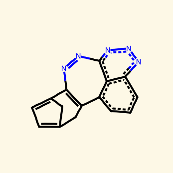 C1=C2CC(=C1)C1=C(C2)c2cccc3nnnc(c23)N=N1